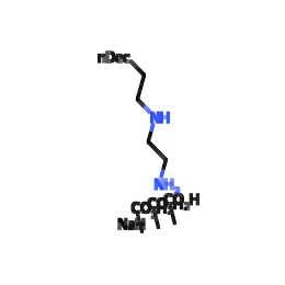 CC(=O)O.CC(=O)O.CC(=O)O.CCCCCCCCCCCCNCCN.[NaH]